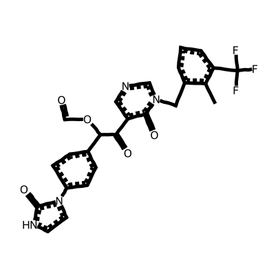 Cc1c(Cn2cncc(C(=O)C(OC=O)c3ccc(-n4cc[nH]c4=O)cc3)c2=O)cccc1C(F)(F)F